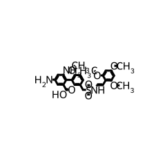 COc1cc(OC)c(C=CNS(=O)(=O)Cc2ccc(OC)c(-c3c(N)cc(N)cc3C(=O)O)c2)c(OC)c1